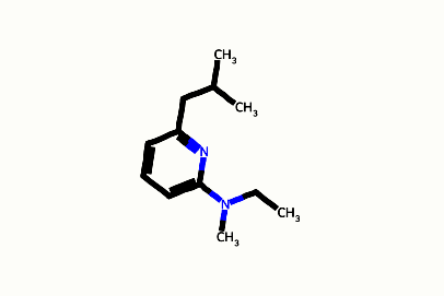 CCN(C)c1cccc(CC(C)C)n1